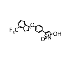 [O-][s+]1nc(O)cc1-c1ccc(O[C@@H]2CCc3c2cccc3C(F)(F)F)cc1